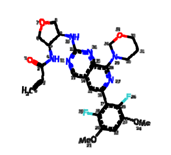 C=CC(=O)N[C@H]1COC[C@H]1Nc1ncc2cc(-c3c(F)c(OC)cc(OC)c3F)nc(N3CCCOC3)c2n1